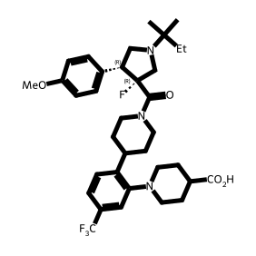 CCC(C)(C)N1C[C@@H](c2ccc(OC)cc2)[C@](F)(C(=O)N2CCC(c3ccc(C(F)(F)F)cc3N3CCC(C(=O)O)CC3)CC2)C1